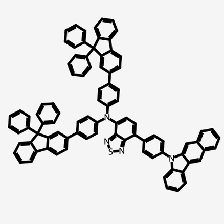 c1ccc(C2(c3ccccc3)c3ccccc3-c3ccc(-c4ccc(N(c5ccc(-c6ccc7c(c6)C(c6ccccc6)(c6ccccc6)c6ccccc6-7)cc5)c5ccc(-c6ccc(-n7c8ccccc8c8cc9ccccc9cc87)cc6)c6nsnc56)cc4)cc32)cc1